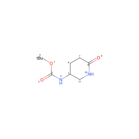 CC(C)(C)OC(=O)NC1CCC(=O)NC1